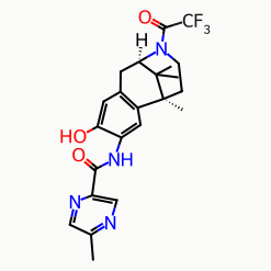 Cc1cnc(C(=O)Nc2cc3c(cc2O)C[C@H]2N(C(=O)C(F)(F)F)CC[C@]3(C)C2(C)C)cn1